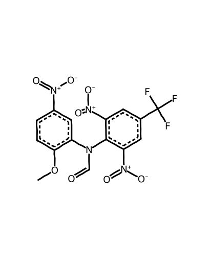 COc1ccc([N+](=O)[O-])cc1N(C=O)c1c([N+](=O)[O-])cc(C(F)(F)F)cc1[N+](=O)[O-]